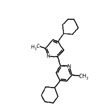 Cc1cc(C2CCCCC2)cc(-c2cc(C3CCCCC3)cc(C)n2)n1